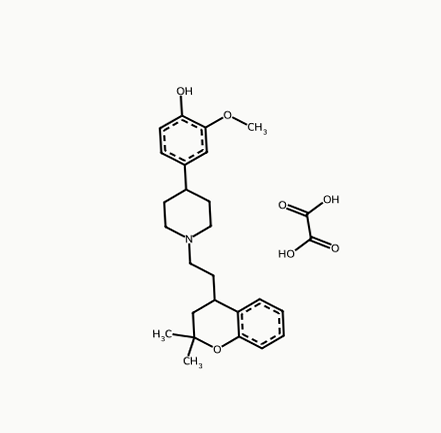 COc1cc(C2CCN(CCC3CC(C)(C)Oc4ccccc43)CC2)ccc1O.O=C(O)C(=O)O